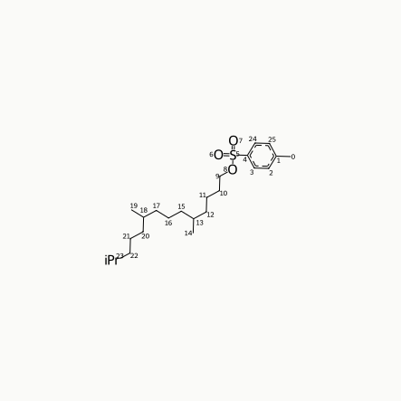 Cc1ccc(S(=O)(=O)OCCCCC(C)CCCC(C)CCCC(C)C)cc1